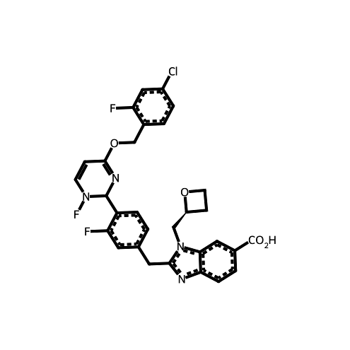 O=C(O)c1ccc2nc(Cc3ccc(C4N=C(OCc5ccc(Cl)cc5F)C=CN4F)c(F)c3)n(C[C@@H]3CCO3)c2c1